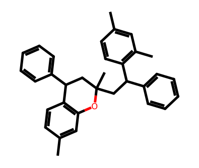 Cc1ccc(C(CC2(C)CC(c3ccccc3)c3ccc(C)cc3O2)c2ccccc2)c(C)c1